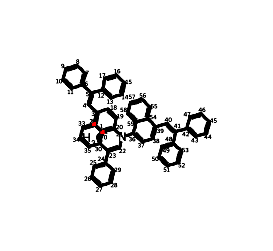 Cc1cc(C=C(c2ccccc2)c2ccccc2)ccc1N(C=C(c1ccccc1)c1ccccc1)c1ccc(C=C(c2ccccc2)c2ccccc2)c2ccccc12